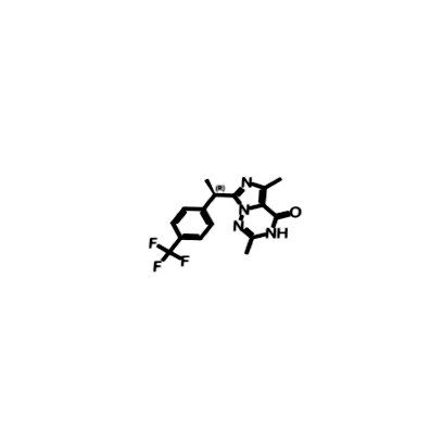 Cc1nn2c([C@H](C)c3ccc(C(F)(F)F)cc3)nc(C)c2c(=O)[nH]1